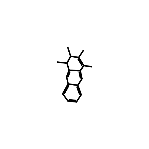 CC1=C(C)C(C)C(C)c2cc3ccccc3cc21